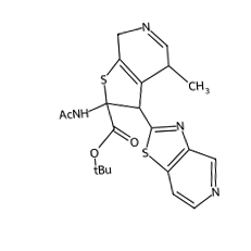 CC(=O)NC1(C(=O)OC(C)(C)C)SC2=C(C(C)C=NC2)C1c1nc2cnccc2s1